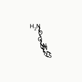 NCCOCCOCCn1cc(CN2CCSCC2)nn1